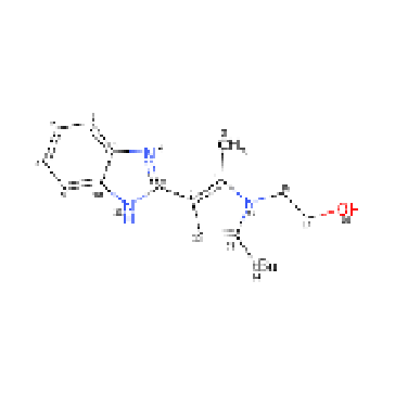 Cc1c(-c2nc3ccccc3[nH]2)cc(C(C)(C)C)n1CCO